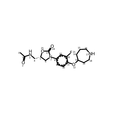 CC(=O)NC[C@H]1CN(c2ccc(OC3CCCNCC3)c(F)c2)C(=O)O1